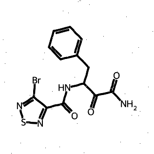 NC(=O)C(=O)C(Cc1ccccc1)NC(=O)c1nsnc1Br